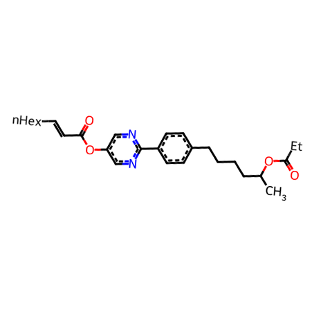 CCCCCC/C=C/C(=O)Oc1cnc(-c2ccc(CCCCC(C)OC(=O)CC)cc2)nc1